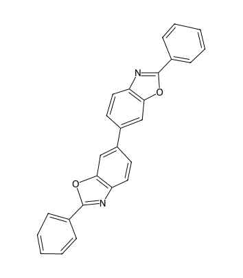 c1ccc(-c2nc3ccc(-c4ccc5nc(-c6ccccc6)oc5c4)cc3o2)cc1